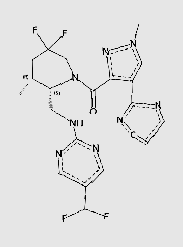 C[C@@H]1CC(F)(F)CN(C(=O)c2nn(C)cc2-c2ncccn2)[C@@H]1CNc1ncc(C(F)F)cn1